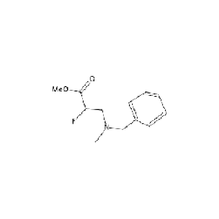 COC(=O)C(F)CN(C)Cc1ccccc1